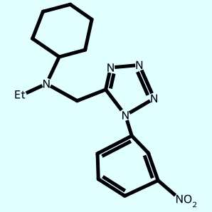 CCN(Cc1nnnn1-c1cccc([N+](=O)[O-])c1)C1CCCCC1